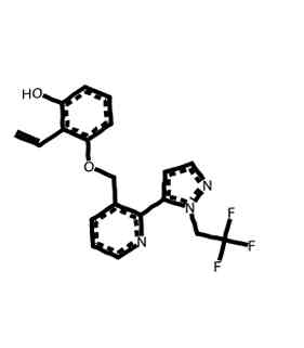 C=Cc1c(O)cccc1OCc1cccnc1-c1ccnn1CC(F)(F)F